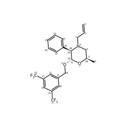 C=CCN1C[C@@H](C)O[C@H](OCc2cc(C(F)(F)F)cc(C(F)(F)F)c2)[C@H]1c1ccccc1